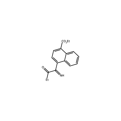 CCOC(=O)c1ccc(C(=N)C(=O)CC)c2ccccc12